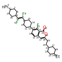 CCCC1CCC(/C(F)=C(\F)C2CCC(c3ccc4cc(CCC5CCC(CC)CC5)oc(=O)c4c3F)CC2)CC1